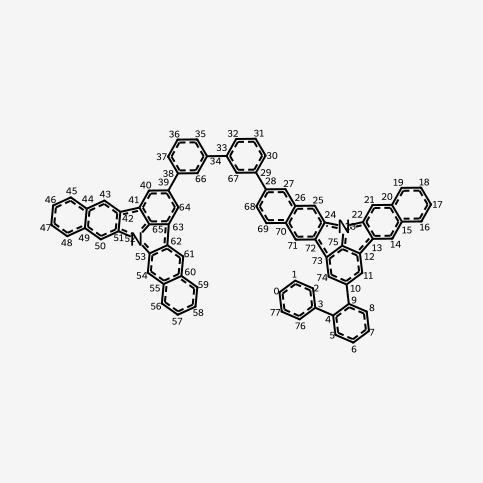 c1ccc(-c2ccccc2-c2cc3c4cc5ccccc5cc4n4c5cc6cc(-c7cccc(-c8cccc(-c9cc%10c%11cc%12ccccc%12cc%11n%11c%12cc%13ccccc%13cc%12c(c9)c%10%11)c8)c7)ccc6cc5c(c2)c34)cc1